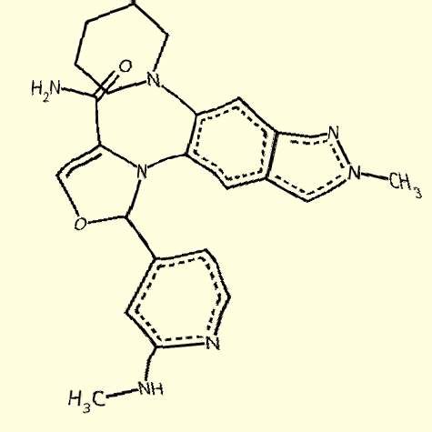 CNc1cc(C2OC=C(C(N)=O)N2c2cc3cn(C)nc3cc2N2CCCCC2)ccn1